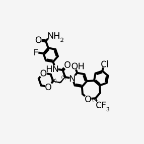 NC(=O)c1ccc(NC(=O)[C@H](C[C@@H]2COCCO2)N2C=C3CO[C@H](C(F)(F)F)Cc4ccc(Cl)cc4C3=CC2O)cc1F